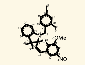 COc1cc(N=O)cc2c1OC1(C=C2)N(Cc2ccc(F)cc2F)c2ccccc2C1(C)C